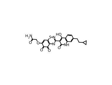 NC(=O)COC1=CC2=C([N]C(c3c(O)c4ccc(CCC5CC5)cc4[nH]c3=O)=NS2)C(=O)C1=O